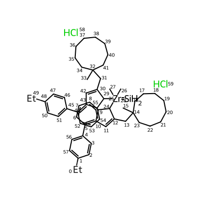 CCc1ccc(-c2cccc3c2C=C(CC2(C)CCCCCCCC2)[CH]3[Zr]([CH3])([CH3])(=[SiH2])[CH]2C(CC3(C)CCCCCCCC3)=Cc3c(-c4ccc(CC)cc4)cccc32)cc1.Cl.Cl